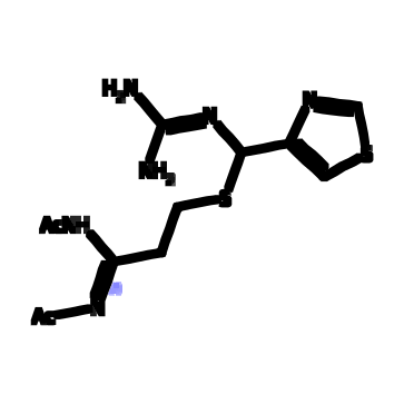 CC(=O)/N=C(/CCSC(N=C(N)N)c1cscn1)NC(C)=O